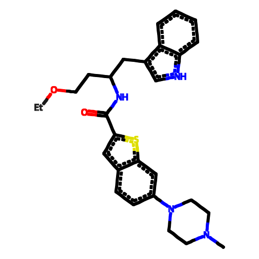 CCOCCC(Cc1c[nH]c2ccccc12)NC(=O)c1cc2ccc(N3CCN(C)CC3)cc2s1